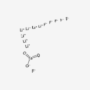 [F-].[F-].[F-].[F-].[F-].[F-].[Li+].[Li+].[Li+].[Li+].[Li+].[Li+].[Li+].[O]=[Ta](=[O])[O-]